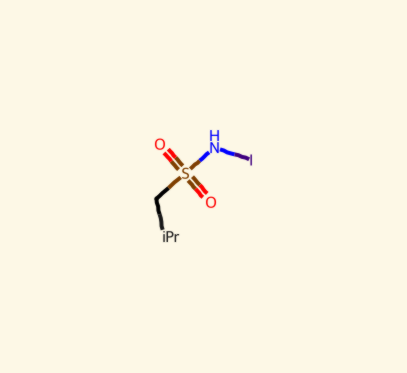 CC(C)CS(=O)(=O)NI